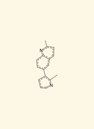 Cc1ccc2cc(-c3cccnc3C)ccc2n1